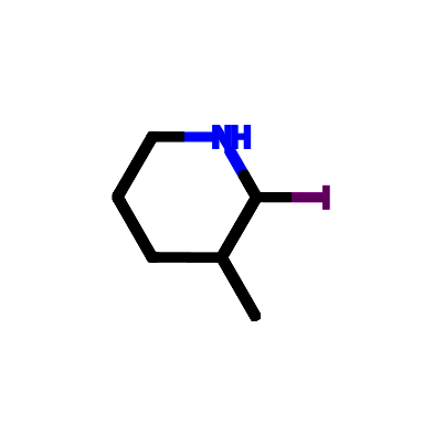 CC1CCCNC1I